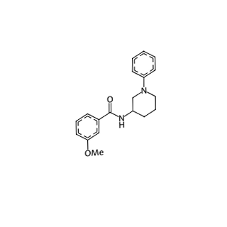 COc1cccc(C(=O)NC2CCCN(c3ccccc3)C2)c1